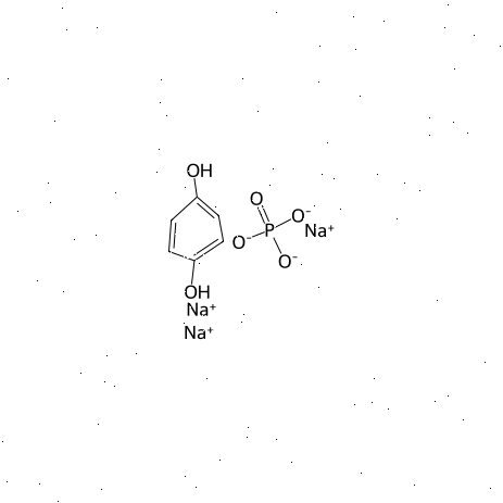 O=P([O-])([O-])[O-].Oc1ccc(O)cc1.[Na+].[Na+].[Na+]